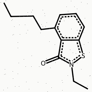 CCCCc1cccc2sn(CC)c(=O)c12